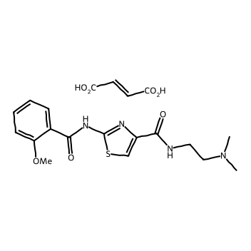 COc1ccccc1C(=O)Nc1nc(C(=O)NCCN(C)C)cs1.O=C(O)C=CC(=O)O